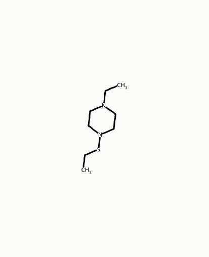 CCSN1CCN(CC)CC1